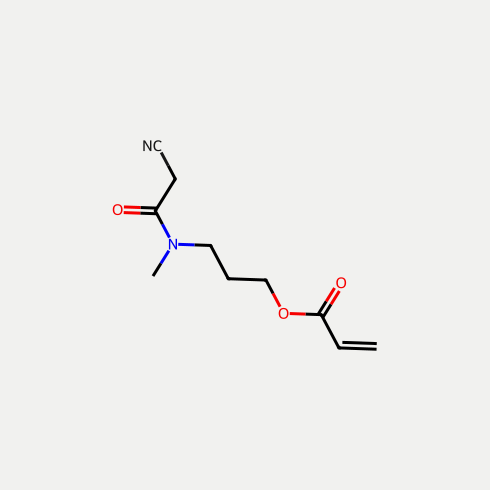 C=CC(=O)OCCCN(C)C(=O)CC#N